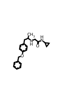 CC(Cc1ccc(OCc2ccccc2)cc1)NCC(=O)NC1CC1